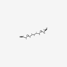 C#CCOCCCCCOCC#C